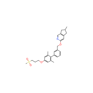 Cc1cc(OCCCS(C)(=O)=O)cc(C)c1-c1cccc(COc2cc3c(cn2)CC(C)C3)c1